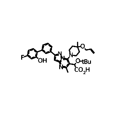 C=CCOC1(C)CCN(c2c(C(OC(C)(C)C)C(=O)O)c(C)nc3cc(-c4cccc(-c5ccc(F)cc5O)c4)nn23)CC1